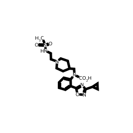 CS(=O)(=O)NCCN1CCC(CN(C(=O)O)c2ccccc2-c2nc(C3CC3)no2)CC1